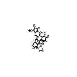 CNC(=O)c1cc2c(c(F)c1-c1c(Cl)c(F)cc3c1C[C@](c1ccccc1)([C@@H]1CCCN1)O3)C[C@H](F)[C@H]2O